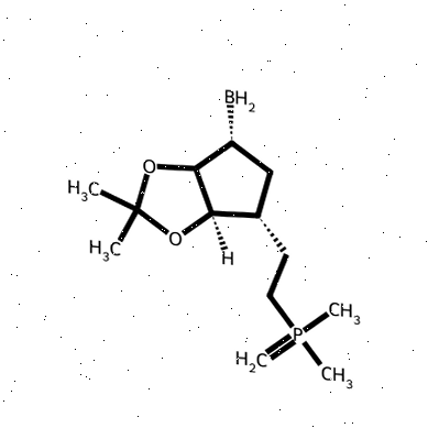 B[C@@H]1C[C@H](CCP(=C)(C)C)[C@H]2OC(C)(C)OC12